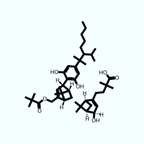 CC(C)(CCC1=C[C@@H](O)[C@@H]2C[C@H]1C2(C)C)C(=O)O.CCCCCC(C(C)C)C(C)(C)c1cc(O)c([C@H]2C=C(COC(=O)C(C)(C)C)[C@H]3C[C@@H]2C3(C)C)c(O)c1